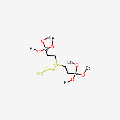 CCO[Si](CC[SH](CC[Si](OCC)(OCC)OCC)SSS)(OCC)OCC